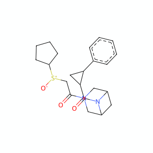 O=C(C[S+]([O-])C1CCCC1)N1CC2CC(C1)N2C(=O)C1CC1c1ccccc1